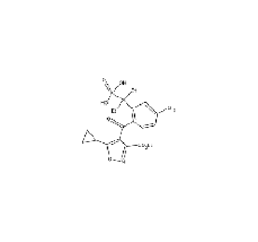 CCOC(=O)c1noc(C2CC2)c1C(=O)c1ccc(C(F)(F)F)cc1C(CC)(CC)P(=O)(O)O